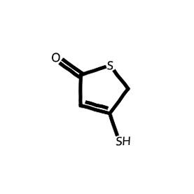 O=C1C=C(S)CS1